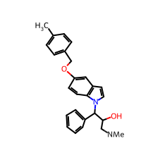 CNCC(O)C(c1ccccc1)n1ccc2cc(OCc3ccc(C)cc3)ccc21